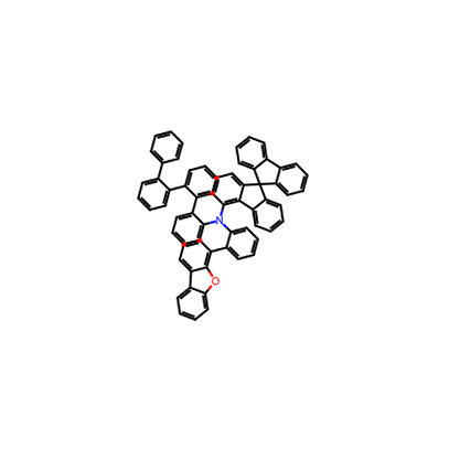 c1ccc(-c2ccccc2-c2ccccc2-c2ccccc2N(c2ccccc2-c2cccc3c2oc2ccccc23)c2cccc3c2-c2ccccc2C32c3ccccc3-c3ccccc32)cc1